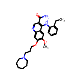 CCc1ccccc1Nc1c(C(N)=O)cnc2cc(OCCCN3CCCCCC3)c(OC)cc12